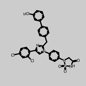 O=C1CN(c2ccc(-n3cc(-c4ccc(Cl)cc4Cl)nc3Cc3ccc(-c4cccc(O)c4)cc3)cc2)S(=O)(=O)N1